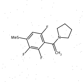 C=C(c1c(F)cc(SC)c(F)c1F)N1CCCC1